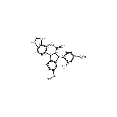 CCCOc1ccc2c(c1)[C@@H](c1ccc(OC)cc1O)[C@H](C(=O)OC)C2c1ccc2c(c1)OCO2